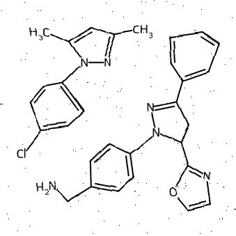 Cc1cc(C)n(-c2ccc(Cl)cc2)n1.NCc1ccc(N2N=C(c3ccccc3)CC2c2ncco2)cc1